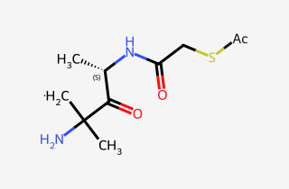 [CH2]C(C)(N)C(=O)[C@H](C)NC(=O)CSC(C)=O